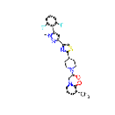 Cn1nc(-c2csc(C3CCN(C(=O)Cn4cccc(C(F)(F)F)c4=O)CC3)n2)cc1-c1c(F)cccc1F